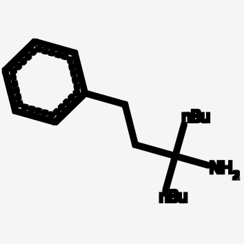 CCCCC(N)(CCCC)CCc1ccccc1